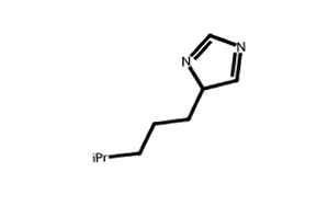 CC(C)CCCC1C=NC=N1